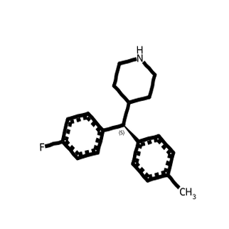 Cc1ccc([C@@H](c2ccc(F)cc2)C2CCNCC2)cc1